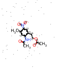 CC(=O)Nc1cc(C)c([N+](=O)[O-])cc1CCOC(C)=O